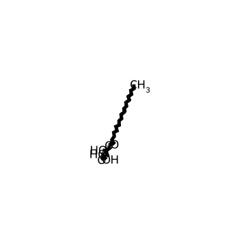 CCCCCCCCC=CCCCCCCCCCC(=O)OCC(O)CP(=O)(O)O